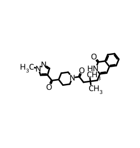 Cn1cc(C(=O)C2CCN(C(=O)CC(C)(C)Cc3cc4ccccc4c(=O)[nH]3)CC2)cn1